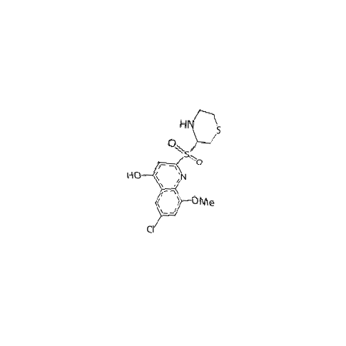 COc1cc(Cl)cc2c(O)cc(S(=O)(=O)C3CSCCN3)nc12